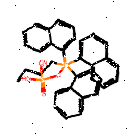 CCCCP(OP(=O)(O)O)(c1cccc2ccccc12)(c1cccc2ccccc12)c1cccc2ccccc12